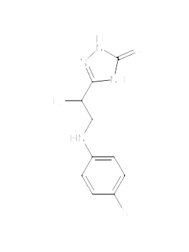 OC(CNc1ccc(Br)cc1)c1n[nH]c(=S)[nH]1